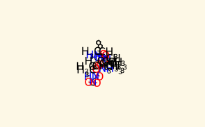 CN[C@H](C(=O)NC(C(=O)N(C)[C@H](/C=C(\C)C(=O)N[C@H](CCC(=O)NCCN1C(=O)C=CC1=O)C(=O)OC(C)(C)C)C(C)C)C(C)(C)C)C(C)(C)c1ccc2ccccc2c1